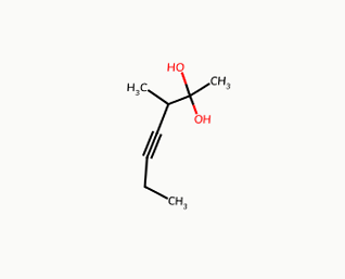 CCC#CC(C)C(C)(O)O